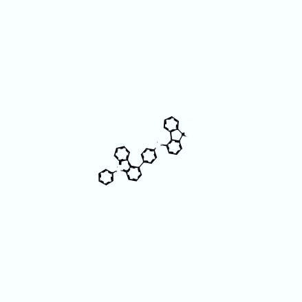 CC1(C)c2ccccc2-c2c(Nc3ccc(-c4cccc5c4c4ccccc4n5-c4ccccc4)cc3)cccc21